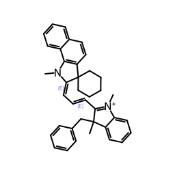 CN1/C(=C/C=C/C2=[N+](C)c3ccccc3C2(C)Cc2ccccc2)C2(CCCCC2)c2ccc3ccccc3c21